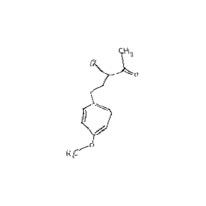 COc1ccc(CCC(Cl)C(C)=O)cc1